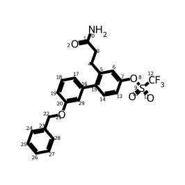 NC(=O)CCc1cc(OS(=O)(=O)C(F)(F)F)ccc1-c1cccc(OCc2ccccc2)c1